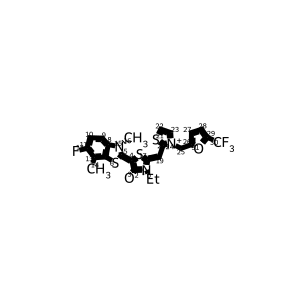 CCn1c(=O)/c(=C2\Sc3c(ccc(F)c3C)N2C)s/c1=C\c1scc[n+]1Cc1ccc(C(F)(F)F)o1